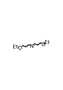 CCOCCC[N]CCCOCC